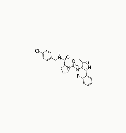 Cc1onc(-c2ccccc2F)c1NC(=O)N1CCCC1C(=O)N(C)Cc1ccc(Cl)cc1